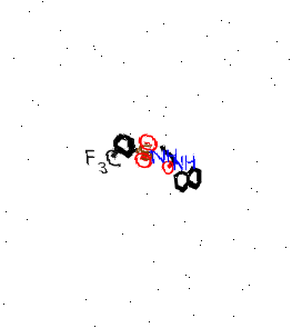 CC(CC(=O)NC1CCCc2ccccc21)NS(=O)(=O)c1cccc(C(F)(F)F)c1